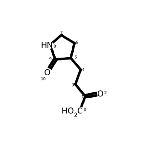 O=C(O)C(=O)CCC1CCNC1=O